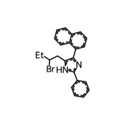 CCC(Br)Cc1[nH]c(-c2ccccc2)nc1-c1cccc2ccccc12